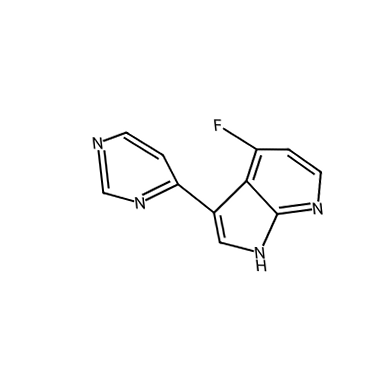 Fc1ccnc2[nH]cc(-c3ccncn3)c12